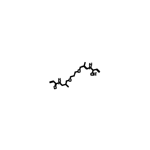 C=CC(=O)NCC(C)COCCCOCC(C)CNC(O)C=C